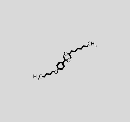 CCCCCCCC1COC(c2ccc(OCCCCC)cc2)CO1